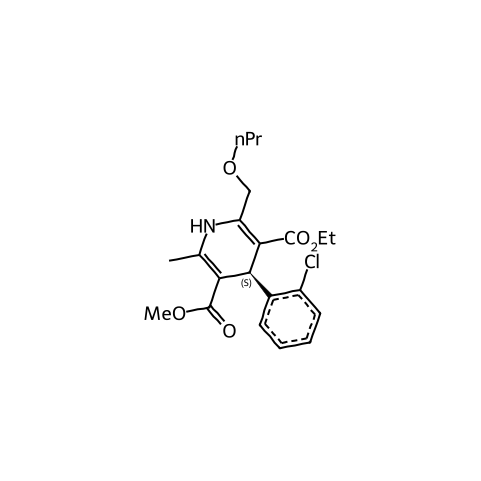 CCCOCC1=C(C(=O)OCC)[C@@H](c2ccccc2Cl)C(C(=O)OC)=C(C)N1